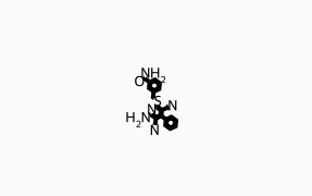 N#Cc1c(N)nc(SCc2cccc(C(N)=O)c2)c(C#N)c1-c1ccccc1